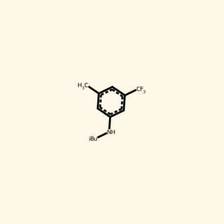 CCC(C)Nc1cc(C)cc(C(F)(F)F)c1